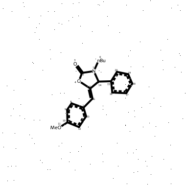 CCCCN1C(=O)O/C(=C\c2ccc(OC)cc2)C1c1ccccc1